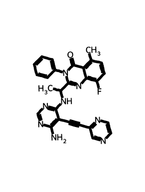 Cc1ccc(F)c2nc(C(C)Nc3ncnc(N)c3C#Cc3cnccn3)n(-c3ccccc3)c(=O)c12